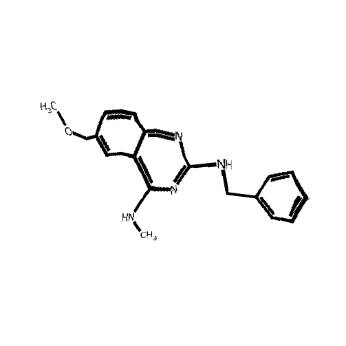 CNc1nc(NCc2ccccc2)nc2ccc(OC)cc12